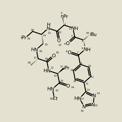 CCC[C@H](NC(=O)[C@@H](NC(=O)c1ccc(-c2nnn[nH]2)cc1)[C@@H](C)CC)C(=O)N[C@H](CN[C@@H](C)C(=O)N[C@H](C(=O)NCC)C(C)C)CC(C)C